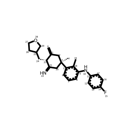 C=C1C[C@@](C)(c2cccc(Nc3ccc(F)cc3)c2C)CC(=N)[C@@H]1CC1CCOC1